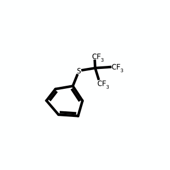 FC(F)(F)C(Sc1ccccc1)(C(F)(F)F)C(F)(F)F